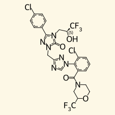 O=C(c1cccc(Cl)c1-n1cnc(Cn2nc(-c3ccc(Cl)cc3)n(C[C@H](O)C(F)(F)F)c2=O)n1)N1CCOC(C(F)(F)F)C1